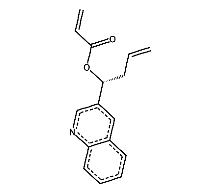 C=CC[C@@H](OC(=O)C=C)c1cnc2ccccc2c1